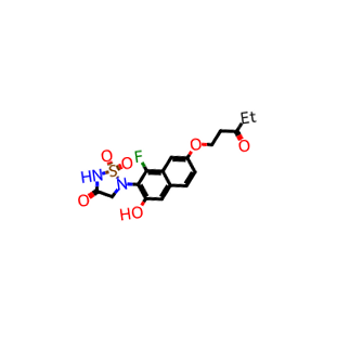 CCC(=O)CCOc1ccc2cc(O)c(N3CC(=O)NS3(=O)=O)c(F)c2c1